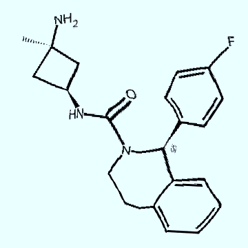 C[C@]1(N)C[C@@H](NC(=O)N2CCc3ccccc3[C@@H]2c2ccc(F)cc2)C1